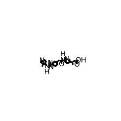 Cc1cnccc1Nc1nc2ccc(CC(=O)Nc3ccc(C(C)CC(=O)O)cn3)cc2n1C